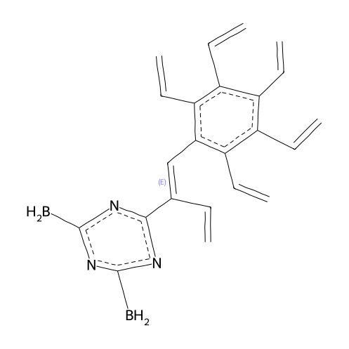 Bc1nc(B)nc(/C(C=C)=C/c2c(C=C)c(C=C)c(C=C)c(C=C)c2C=C)n1